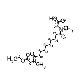 CCOC(=O)CN(C)C(=O)CCCCCCCCC(=O)N(C)CC(=O)O